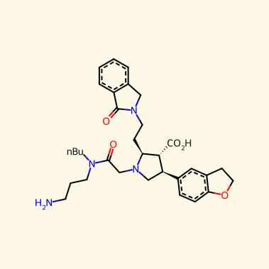 CCCCN(CCCN)C(=O)CN1C[C@H](c2ccc3c(c2)CCO3)[C@@H](C(=O)O)[C@@H]1CCN1Cc2ccccc2C1=O